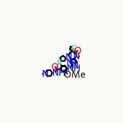 C=C[C@@]1(F)CN(C2CCCC2)c2nc(Nc3cc(F)c(C(=O)NC4CCN(C)CC4)cc3OC)ncc2N(C)C1=O